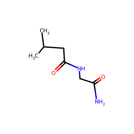 CC(C)CC(=O)NCC(N)=O